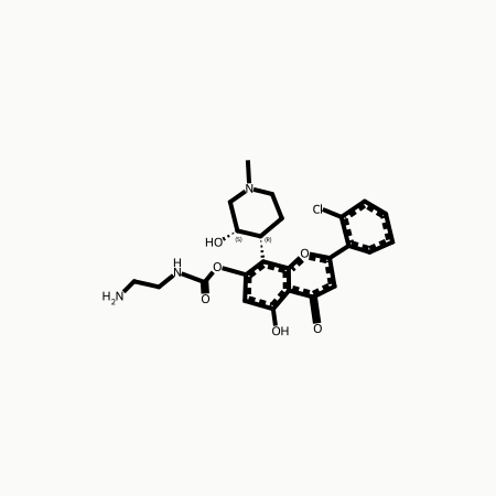 CN1CC[C@H](c2c(OC(=O)NCCN)cc(O)c3c(=O)cc(-c4ccccc4Cl)oc23)[C@H](O)C1